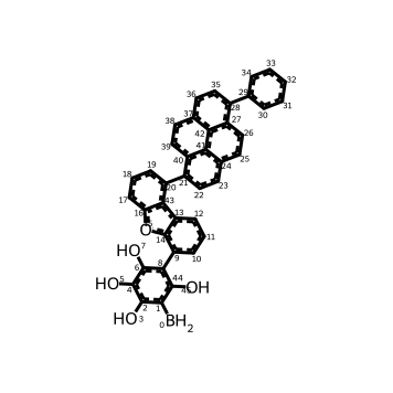 Bc1c(O)c(O)c(O)c(-c2cccc3c2oc2cccc(-c4ccc5ccc6c(-c7ccccc7)ccc7ccc4c5c76)c23)c1O